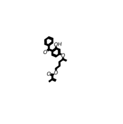 C=C(C)C(=O)OCCCC(C)Oc1ccc(C(=O)c2ccccc2)c(O)c1